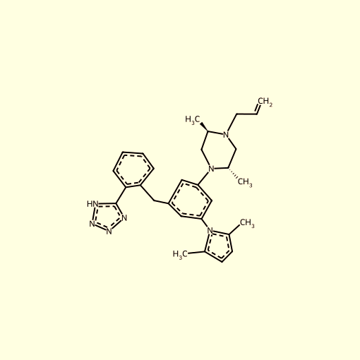 C=CCN1C[C@H](C)N(c2cc(Cc3ccccc3-c3nnn[nH]3)cc(-n3c(C)ccc3C)c2)C[C@H]1C